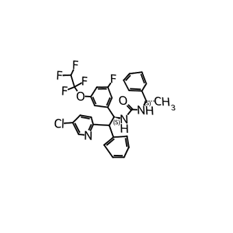 C[C@H](NC(=O)N[C@H](c1cc(F)cc(OC(F)(F)C(F)F)c1)C(c1ccccc1)c1ccc(Cl)cn1)c1ccccc1